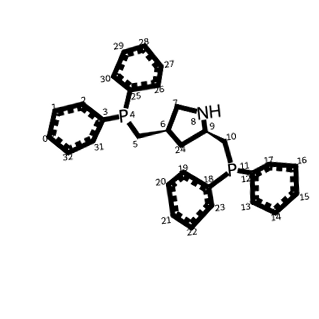 c1ccc(P(C[C@H]2CN[C@@H](CP(c3ccccc3)c3ccccc3)C2)c2ccccc2)cc1